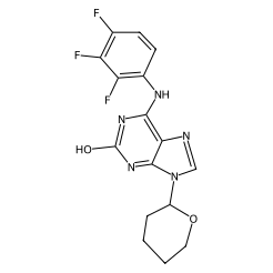 Oc1nc(Nc2ccc(F)c(F)c2F)c2ncn(C3CCCCO3)c2n1